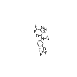 O=C(c1snnc1C(F)F)N(c1cccc(OC(F)(F)F)c1)C1CC1